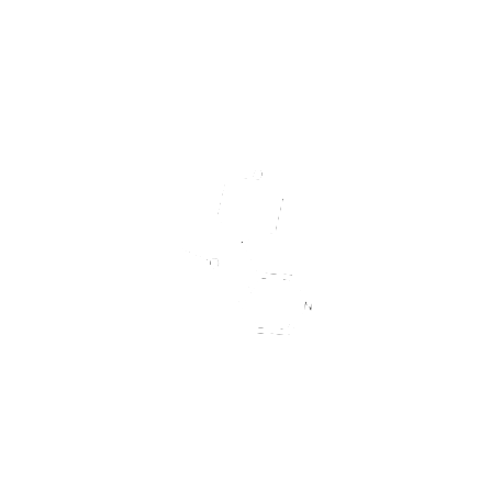 COC1(c2cccnc2)CCOCC1